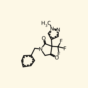 Cn1cc(C2(C(F)(F)F)C(=O)CN(Cc3ccccc3)C2=O)cn1